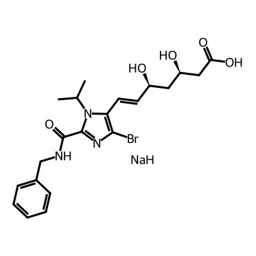 CC(C)n1c(C(=O)NCc2ccccc2)nc(Br)c1/C=C/[C@@H](O)C[C@@H](O)CC(=O)O.[NaH]